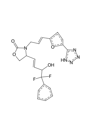 O=C1OCC(C=CC(O)C(F)(F)c2ccccc2)N1CC=Cc1ccc(-c2nnn[nH]2)o1